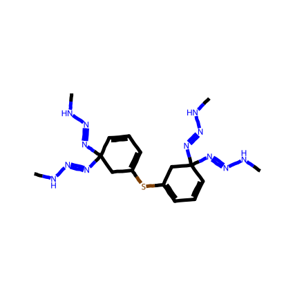 CN/N=N/C1(/N=N/NC)C=CC=C(SC2=CC=CC(/N=N/NC)(/N=N/NC)C2)C1